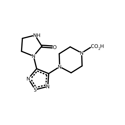 O=C(O)N1CCN(c2nsnc2N2CCNC2=O)CC1